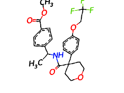 COC(=O)c1ccc(C(C)NC(=O)C2(c3ccc(OCC(F)(F)F)cc3)CCOCC2)cc1